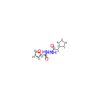 O=C(CC1CCCC1)NNC(=O)c1ccco1